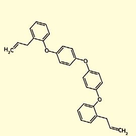 C=CCc1ccccc1Oc1ccc(Oc2ccc(Oc3ccccc3CC=C)cc2)cc1